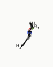 CCCCCCCCCCCCc1ccc(-c2ncc(OCCC(F)C(C)CCCC)cn2)cc1